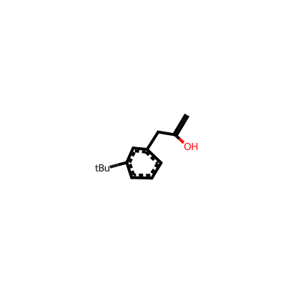 C=C(O)Cc1cccc(C(C)(C)C)c1